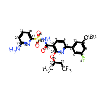 CC(C)COc1cc(F)cc(-c2ccc(C(=O)NS(=O)(=O)c3cccc(N)n3)c(OC(C)CC(F)(F)F)n2)c1